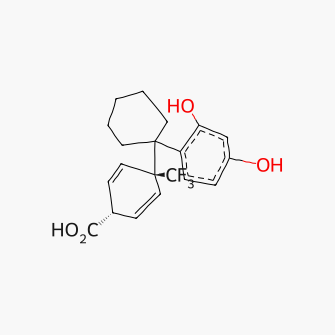 O=C(O)[C@H]1C=C[C@@](C(F)(F)F)(C2(c3ccc(O)cc3O)CCCCC2)C=C1